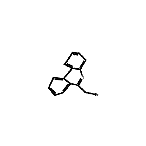 BrCc1nc2ccccc2c2ccccc12